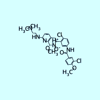 COc1ccc(C(=O)Nc2ccc(Cl)c(C3=Cc4ccc(NCCN(C)C)nc4C(OC)[NH+]3[O-])c2)cc1Cl